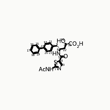 CC(=O)Nc1ncc(C(=O)N[C@H](Cc2ccc(-c3ccccc3)cc2)C[C@@H](O)C(=O)O)s1